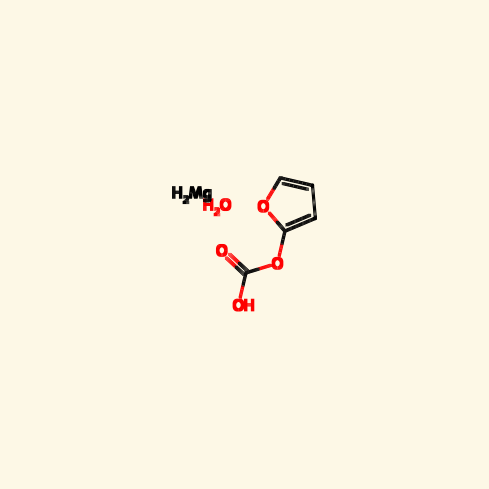 O.O=C(O)Oc1ccco1.[MgH2]